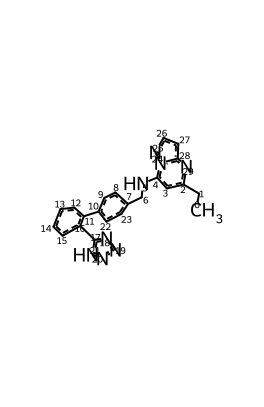 CCc1cc(NCc2ccc(-c3ccccc3-c3nnn[nH]3)cc2)n2nccc2n1